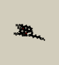 C=C[C@@]1(OC)CC[C@]2(C)[C@H]3Cc4ccc(OC(=O)/C=C/C=C/C)c5c4[C@@]2(CCN3C)[C@H]1O5